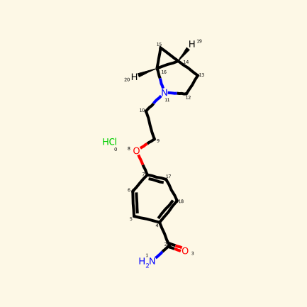 Cl.NC(=O)c1ccc(OCCN2CC[C@H]3C[C@H]32)cc1